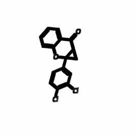 O=C1c2ccccc2OC2(c3ccc(Cl)c(Cl)c3)CC12